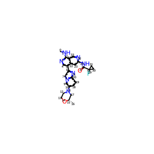 CNc1ncc(-c2cn3cc(N4CCO[C@@H](C)C4)ccc3n2)c2cc(NC(=O)C3(F)CC3)ncc12